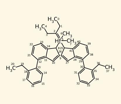 CC[C](CC)=[Hf]([CH3])([CH3])([CH]1C=Cc2c(-c3ccccc3CC)cccc21)[CH]1C=Cc2c(-c3ccccc3CC)cccc21